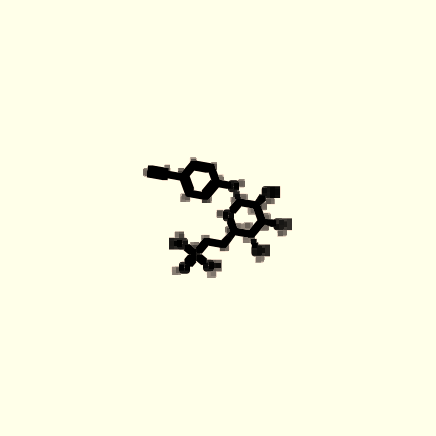 C#Cc1ccc(O[C@H]2O[C@H](CCP(=O)(O)O)[C@@H](O)[C@H](O)[C@@H]2O)cc1